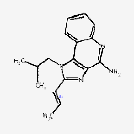 C/C=C/c1nc2c(N)nc3ccccc3c2n1CC(C)C